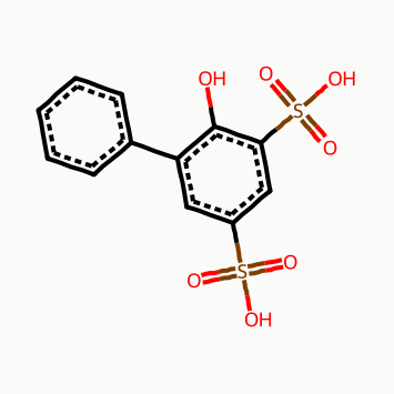 O=S(=O)(O)c1cc(-c2ccccc2)c(O)c(S(=O)(=O)O)c1